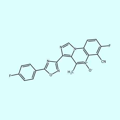 Cc1c2c(-c3noc(-c4ccc(F)cc4)n3)ncn2c2ccc(F)c(C#N)c2[n+]1[O-]